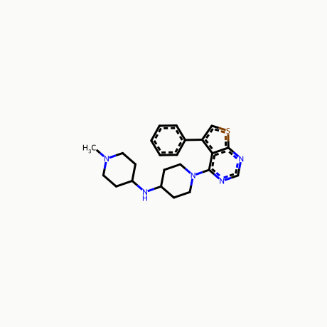 CN1CCC(NC2CCN(c3ncnc4scc(-c5ccccc5)c34)CC2)CC1